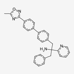 Cc1nc(-c2ccc(-c3ccc(CC(N)(Cc4ccccc4)c4ccccn4)cc3)cc2)no1